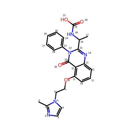 Cc1nccn1CCOc1cccc2nc(C(C)NC(=O)O)n(-c3ccccc3)c(=O)c12